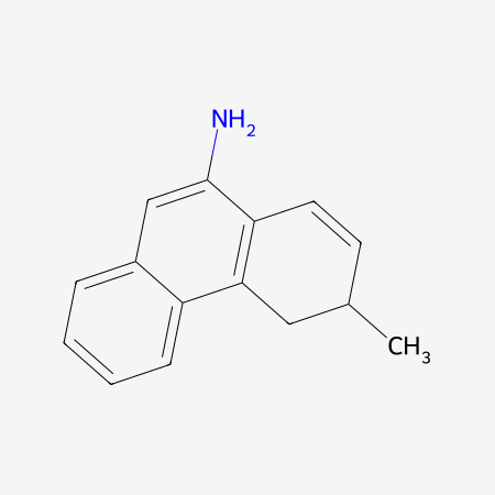 CC1C=Cc2c(N)cc3ccccc3c2C1